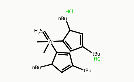 CCCCC1C=C(C(C)(C)C)C=[C]1[Zr]([CH3])([CH3])(=[SiH2])[C]1=CC(C(C)(C)C)=CC1CCCC.Cl.Cl